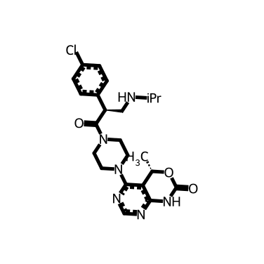 CC(C)NC[C@@H](C(=O)N1CCN(c2ncnc3c2[C@H](C)OC(=O)N3)CC1)c1ccc(Cl)cc1